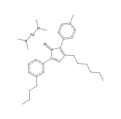 CCCCCCC1=C(c2ccc(C)cc2)[N+](=[N-])C(c2cccc(CCCC)c2)=C1.C[N](C)[Pd][N](C)C